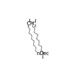 C=CCCCCCCCCCCCCCCCCCC.ICCCCCCCCCCC(I)I